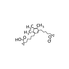 Cc1c(CCCCCC2(OC=O)CC2)cc(CCCCCC2(C(=O)O)CC2)c(C)c1C